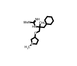 CNC(=N)NC(C=O)(COC1CCN(C)C1)CC1CCCCC1